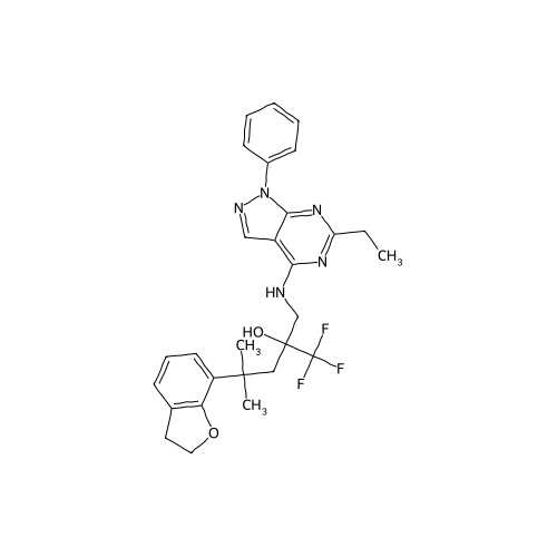 CCc1nc(NCC(O)(CC(C)(C)c2cccc3c2OCC3)C(F)(F)F)c2cnn(-c3ccccc3)c2n1